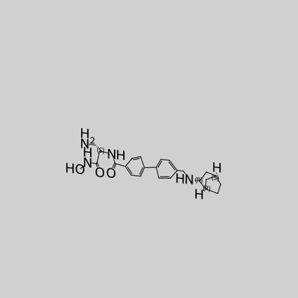 NC[C@H](NC(=O)c1ccc(-c2ccc(CN[C@@H]3C[C@H]4CC[C@@H]3C4)cc2)cc1)C(=O)NO